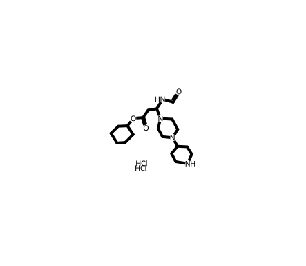 Cl.Cl.O=CNC(CC(=O)OC1CCCCC1)N1CCN(C2CCNCC2)CC1